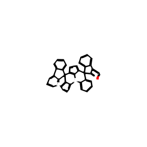 c1ccc2c(c1)-c1cccnc1C21c2ccccc2N2c3ccccc3C3(c4ccccc4-c4cccnc43)c3cccc1c32